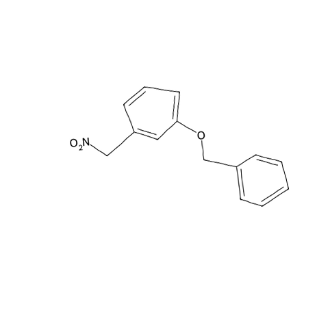 O=[N+]([O-])Cc1cccc(OCc2ccccc2)c1